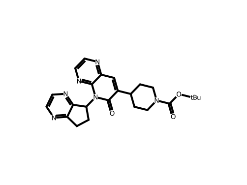 CC(C)(C)OC(=O)N1CCC(c2cc3nccnc3n(C3CCc4nccnc43)c2=O)CC1